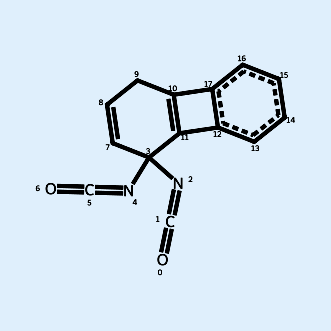 O=C=NC1(N=C=O)C=CCC2=C1c1ccccc12